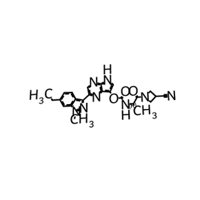 CCc1ccc2c(-c3cnc4[nH]cc(OC(=O)N[C@H](C)C(=O)N5CC(C#N)C5)c4n3)nn(C)c2c1